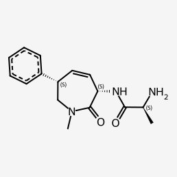 C[C@H](N)C(=O)N[C@H]1C=C[C@@H](c2ccccc2)CN(C)C1=O